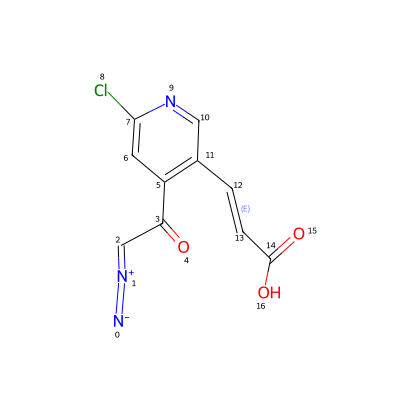 [N-]=[N+]=CC(=O)c1cc(Cl)ncc1/C=C/C(=O)O